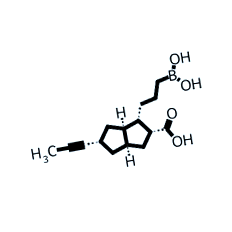 CC#C[C@H]1C[C@@H]2C[C@@H](C(=O)O)[C@@H](CCCB(O)O)[C@@H]2C1